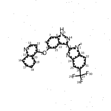 Cn1c(-c2n[nH]c3ccc(Oc4ccnc5ccccc45)cc23)nc2cc(C(F)(F)F)ccc21